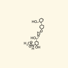 CS(=O)(=O)Nc1cc([C@@H](O)CNCCOc2ccc(-c3ccccc3CO)cc2)ccc1O